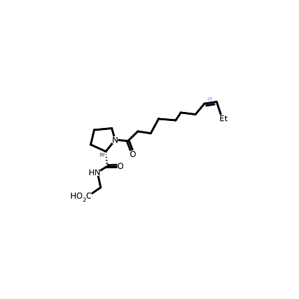 CC/C=C\CCCCCCC(=O)N1CCC[C@H]1C(=O)NCC(=O)O